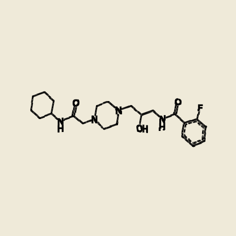 O=C(CN1CCN(CC(O)CNC(=O)c2ccccc2F)CC1)NC1CCCCC1